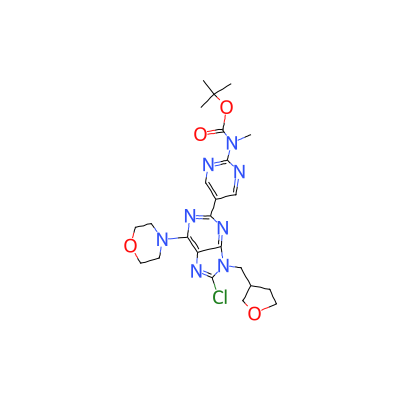 CN(C(=O)OC(C)(C)C)c1ncc(-c2nc(N3CCOCC3)c3nc(Cl)n(CC4CCOC4)c3n2)cn1